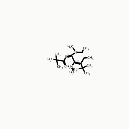 C=NC(=C(/CC)C(C)(C)C)/C(=N\C(=C)C(C)(C)C)N(C)CC